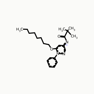 CCCCCCCCOc1c/c(=N\C(=O)C(C)(C)C)cnn1-c1ccccc1